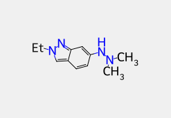 CCn1cc2ccc(NN(C)C)cc2n1